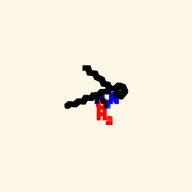 CCCCCCCCCCCC(CCCCCCCC)c1ccccc1N.O